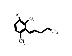 CCCC=Cc1c(C)ccc(O)c1O